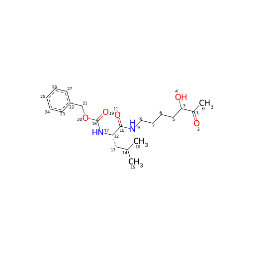 CC(=O)C(O)CCCCNC(=O)[C@H](CC(C)C)NC(=O)OCc1ccccc1